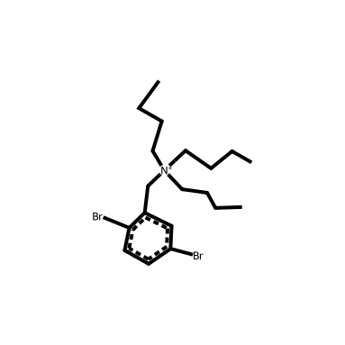 CCCC[N+](CCCC)(CCCC)Cc1cc(Br)ccc1Br